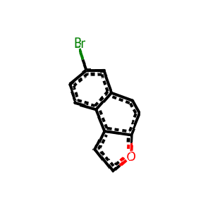 Brc1ccc2c(ccc3occc32)c1